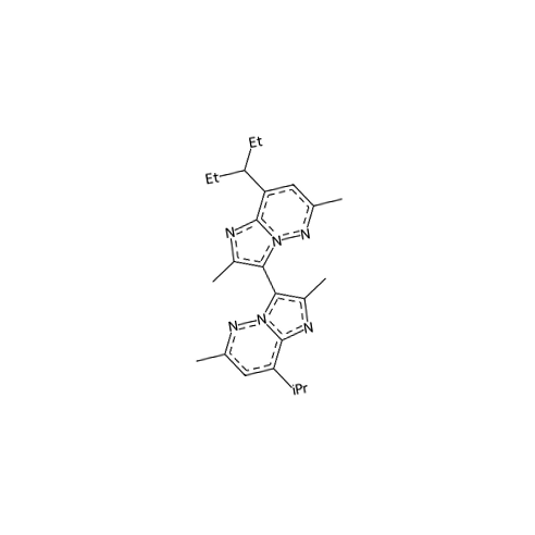 CCC(CC)c1cc(C)nn2c(-c3c(C)nc4c(C(C)C)cc(C)nn34)c(C)nc12